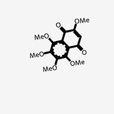 COC1=CC(=O)c2c(OC)c(OC)c(OC)c(OC)c2C1=O